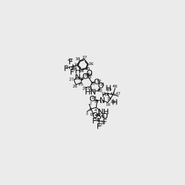 CC(C)(C)[C@H](NS(=O)(=O)C(F)(F)F)C(=O)N1C[C@H]2[C@@H]([C@H]1C(=O)N[C@@H](C[C@@H]1CCNC1=O)C(=O)COc1cccc(C(F)(F)F)c1)C2(C)C